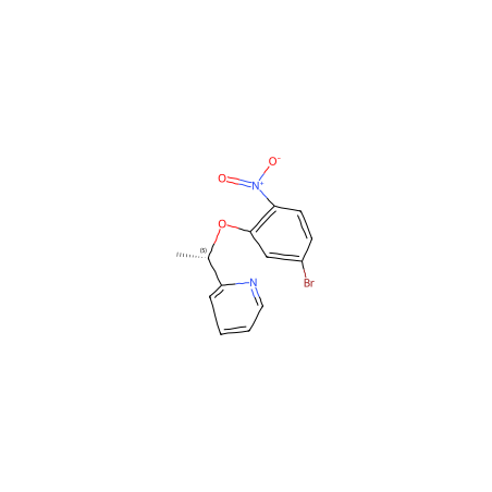 C[C@H](Oc1cc(Br)ccc1[N+](=O)[O-])c1ccccn1